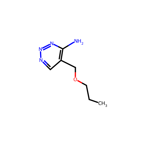 CCCOCc1cnnnc1N